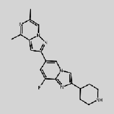 Cc1cn2nc(-c3cc(F)c4nc(C5CCNCC5)cn4c3)cc2c(C)n1